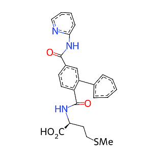 CSCC[C@H](NC(=O)c1ccc(C(=O)Nc2ccccn2)cc1-c1ccccc1)C(=O)O